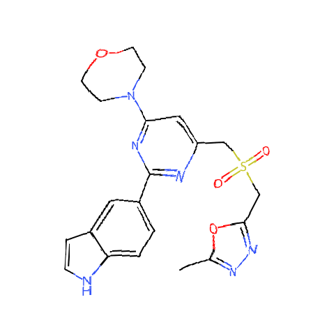 Cc1nnc(CS(=O)(=O)Cc2cc(N3CCOCC3)nc(-c3ccc4[nH]ccc4c3)n2)o1